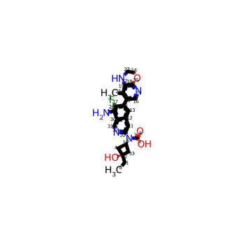 CC[C@]1(O)C[C@@H](N(C(=O)O)c2cc3cc(-c4cnc5c(c4C)NCCO5)c(F)c(N)c3cn2)C1